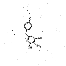 Nc1c(O)nc(Cc2ccc(Cl)cc2)nc1O